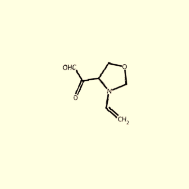 C=CN1COCC1C(=O)C=O